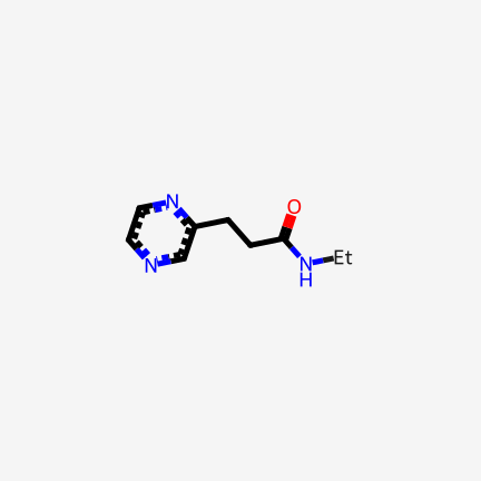 CCNC(=O)CCc1cnccn1